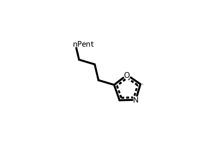 CCCCCCCCc1cn[c]o1